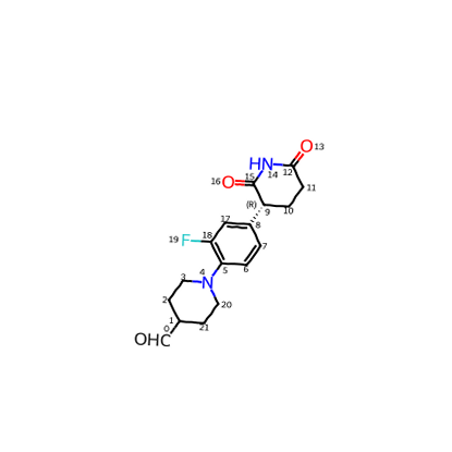 O=CC1CCN(c2ccc([C@H]3CCC(=O)NC3=O)cc2F)CC1